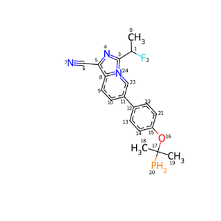 CC(F)c1nc(C#N)c2ccc(-c3ccc(OC(C)(C)P)cc3)cn12